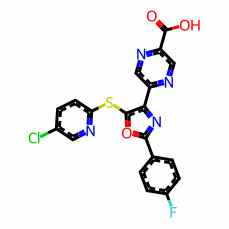 O=C(O)c1cnc(-c2nc(-c3ccc(F)cc3)oc2Sc2ccc(Cl)cn2)cn1